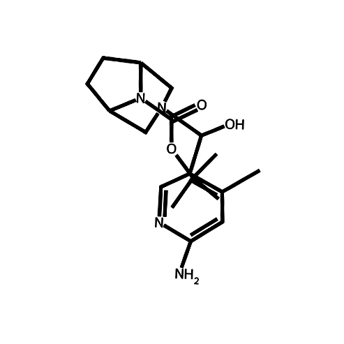 Cc1cc(N)ncc1C(O)N1CC2CCC(C1)N2C(=O)OC(C)(C)C